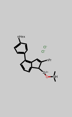 CCCCCCc1ccc(-c2cccc3c2C=C(CCC)[CH]3[Zr+2][O][SiH](C)C)cc1.[Cl-].[Cl-]